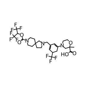 CC1(C(=O)O)CN(C2=CC(CN3CCC4(CCN(C(=O)OC(C(F)(F)F)C(F)(F)F)CC4)C3)=CC(C(F)(F)F)C2)CCO1